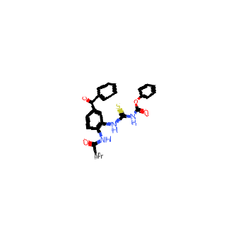 CCCC(=O)Nc1ccc(C(=O)c2ccccc2)cc1NC(=S)NC(=O)Oc1ccccc1